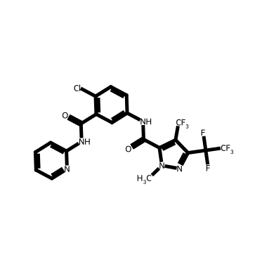 Cn1nc(C(F)(F)C(F)(F)F)c(C(F)(F)F)c1C(=O)Nc1ccc(Cl)c(C(=O)Nc2ccccn2)c1